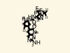 CNc1ncc2cc(-c3cc(NC(=O)Nc4cnn(C(C)(C)C)c4C(F)(F)F)c(F)cc3C)c(=O)n(C)c2n1